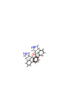 c1ccc(C(OC(c2ccccc2)(c2ccccc2)C2CCNC2)(c2ccccc2)C2CCNC2)cc1